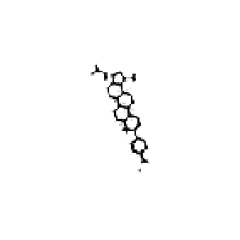 C=C(C)[C@@H]1CC[C@]2(/C=C/C(=O)Cl)CC[C@]3(C)[C@H](CC[C@@H]4[C@@]5(C)CC=C(c6ccc(C(=O)OC)cc6)C(C)(C)[C@@H]5CC[C@]43C)[C@@H]12